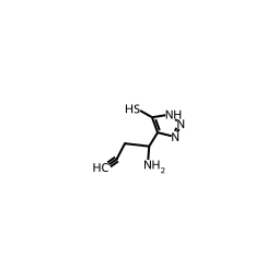 C#CCC(N)c1nn[nH]c1S